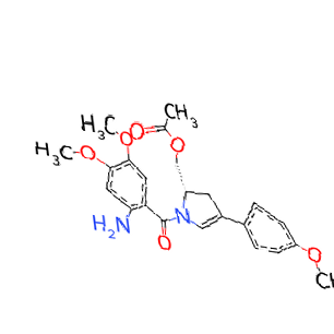 COc1ccc(C2=CN(C(=O)c3cc(OC)c(OC)cc3N)[C@H](COC(C)=O)C2)cc1